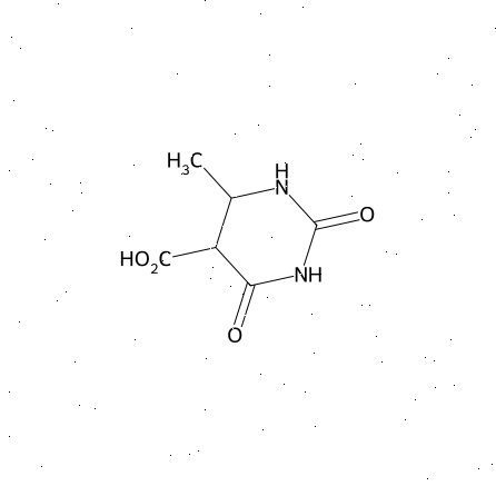 CC1NC(=O)NC(=O)C1C(=O)O